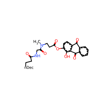 CCCCCCCCCCCCC(=O)NCC(=O)N(C)CCC(=O)Oc1ccc2c(c1O)C(=O)c1ccccc1C2=O